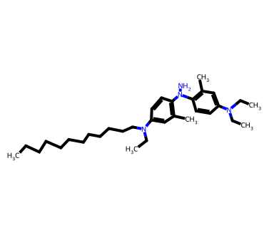 CCCCCCCCCCCCN(CC)c1ccc(N(N)c2ccc(N(CC)CC)cc2C)c(C)c1